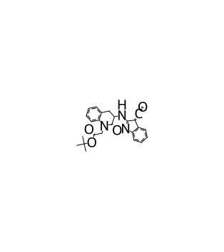 CC(C)(C)OC(=O)CN1C(=O)C(NC2=Nc3ccccc3C2=C=O)Cc2ccccc21